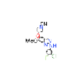 COc1cc2nc(Nc3ccc(F)c(Cl)c3)ncc2cc1OC1CCN(C#N)CC1